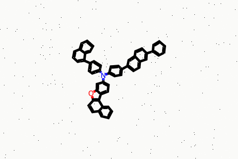 c1ccc(-c2ccc3cc(-c4ccc(N(c5ccc(-c6cccc7ccccc67)cc5)c5ccc6c(c5)oc5ccc7ccccc7c56)cc4)ccc3c2)cc1